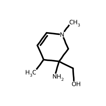 CC1C=CN(C)CC1(N)CO